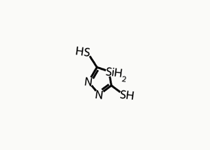 SC1=NN=C(S)[SiH2]1